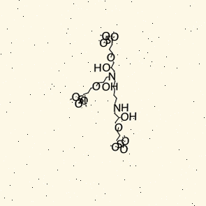 CO[Si](CCCOCC(O)CNCCCCCCN(CC(O)COCCC[Si](OC)(OC)OC)CC(O)COCCC[Si](OC)(OC)OC)(OC)OC